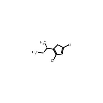 CO[C@@H](C)C1=C(Cl)C=C(Cl)C1